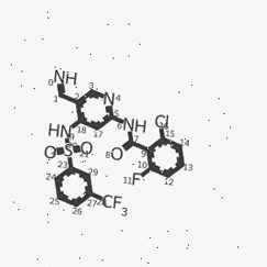 N=Cc1cnc(NC(=O)c2c(F)cccc2Cl)cc1NS(=O)(=O)c1cccc(C(F)(F)F)c1